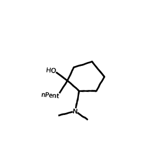 CCCCCC1(O)CCCCC1N(C)C